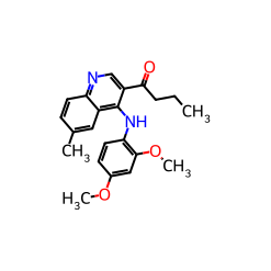 CCCC(=O)c1cnc2ccc(C)cc2c1Nc1ccc(OC)cc1OC